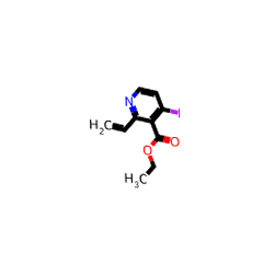 C=Cc1nccc(I)c1C(=O)OCC